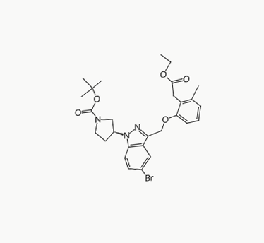 CCOC(=O)Cc1c(C)cccc1OCc1nn([C@H]2CCN(C(=O)OC(C)(C)C)C2)c2ccc(Br)cc12